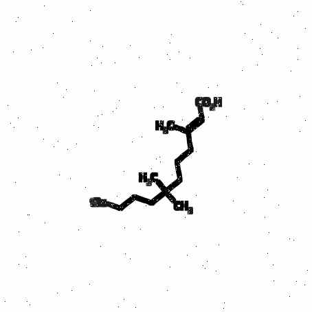 C/C(=C\C(=O)O)CCCC(C)(C)CCCC(C)(C)C